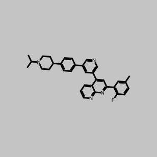 Cc1ccc(F)c(-c2cc(-c3cncc(-c4ccc(C5CCN(C(C)C)CC5)cc4)c3)c3cccnc3n2)c1